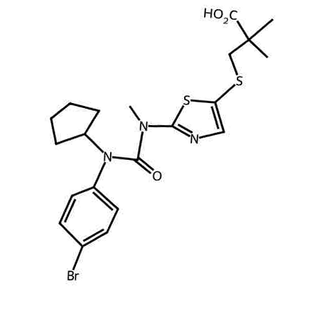 CN(C(=O)N(c1ccc(Br)cc1)C1CCCC1)c1ncc(SCC(C)(C)C(=O)O)s1